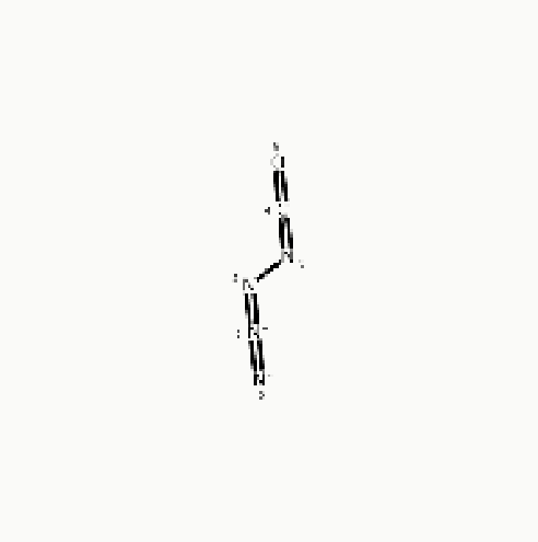 [N-]=[N+]=NN=C=O